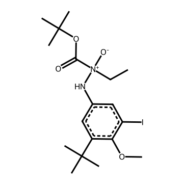 CC[N+]([O-])(Nc1cc(I)c(OC)c(C(C)(C)C)c1)C(=O)OC(C)(C)C